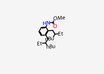 CCCCC(CC)Cc1cccc(NC(=O)OC)c1CC(CC)CCCC